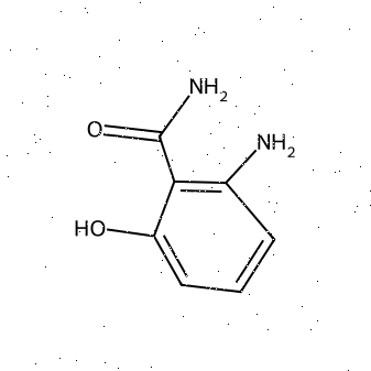 NC(=O)c1c(N)cccc1O